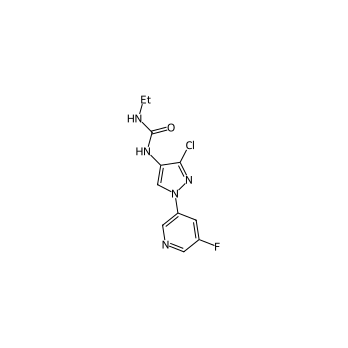 CCNC(=O)Nc1cn(-c2cncc(F)c2)nc1Cl